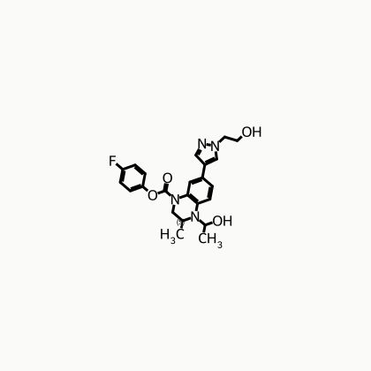 CC(O)N1c2ccc(-c3cnn(CCO)c3)cc2N(C(=O)Oc2ccc(F)cc2)C[C@@H]1C